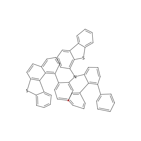 c1ccc(-c2cccc(N(c3ccccc3-c3cccc4ccc5sc6ccccc6c5c34)c3cccc4c3sc3ccccc34)c2-c2ccccc2)cc1